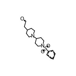 O=CCC1CCN(C2CCN(S(=O)(=O)c3ccccc3)CC2)CC1